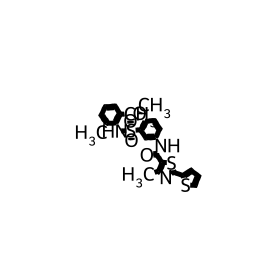 COc1ccc(NC(=O)c2sc(-c3cccs3)nc2C)cc1S(=O)(=O)Nc1c(C)cccc1C